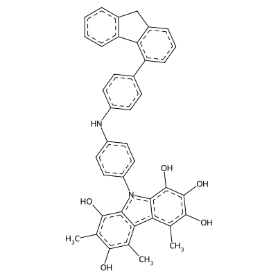 Cc1c(O)c(C)c2c3c(C)c(O)c(O)c(O)c3n(-c3ccc(Nc4ccc(-c5cccc6c5-c5ccccc5C6)cc4)cc3)c2c1O